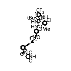 COc1cc(C(=O)N2CCC[C@@]3(C[C@H]3C#Cc3cccc4c3CN(C3CCC(=O)NC3=O)C4=O)[C@H]2C)ccc1NC(=O)[C@@H]1N[C@@H](CC(C)(C)C)[C@@]2(CNc3cc(C(F)(F)F)ncc32)[C@H]1c1cccc(Cl)c1F